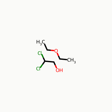 CCOCC.OCC(Cl)Cl